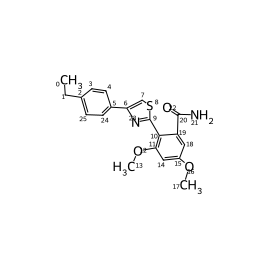 CCc1ccc(-c2csc(-c3c(OC)cc(OC)cc3C(N)=O)n2)cc1